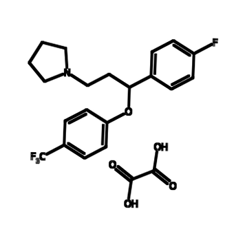 Fc1ccc(C(CCN2CCCC2)Oc2ccc(C(F)(F)F)cc2)cc1.O=C(O)C(=O)O